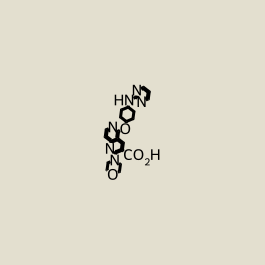 O=C(O)c1cc2c(OC3CCC(Nc4ncccn4)CC3)nccc2nc1N1CCOCC1